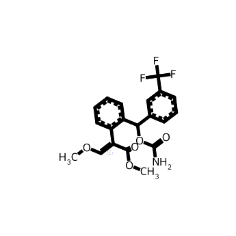 CO/C=C(/C(=O)OC)c1ccccc1C(OC(N)=O)c1cccc(C(F)(F)F)c1